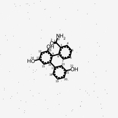 NC(=O)c1ccccc1-c1c(O)cc(O)cc1-c1cccc(O)c1